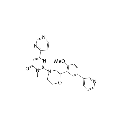 COc1ccc(-c2cccnc2)cc1C1CN(c2nc(-c3ccncn3)cc(=O)n2C)CCO1